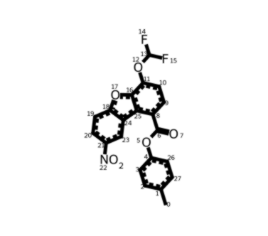 Cc1ccc(OC(=O)c2ccc(OC(F)F)c3oc4ccc([N+](=O)[O-])cc4c23)cc1